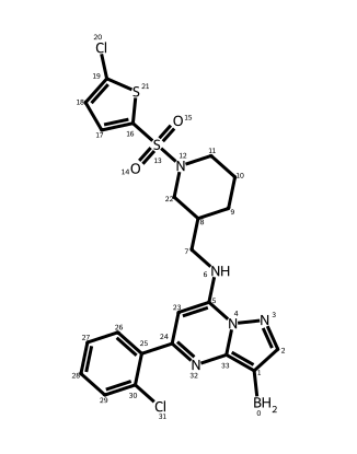 Bc1cnn2c(NCC3CCCN(S(=O)(=O)c4ccc(Cl)s4)C3)cc(-c3ccccc3Cl)nc12